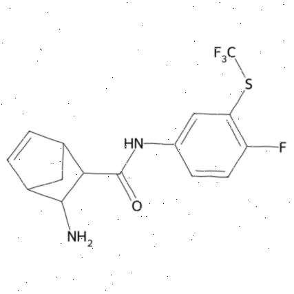 NC1C2C=CC(C2)C1C(=O)Nc1ccc(F)c(SC(F)(F)F)c1